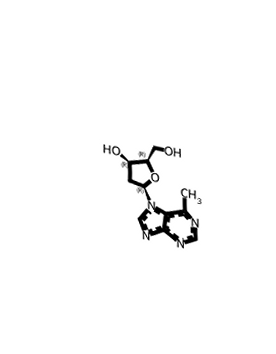 Cc1ncnc2ncn([C@H]3C[C@@H](O)[C@@H](CO)O3)c12